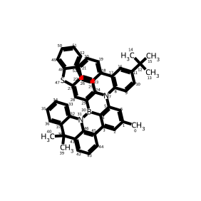 Cc1cc2c3c(c1)N(c1ccc(C(C)(C)C)cc1-c1ccccc1)c1cc4c(cc1B3N1c3ccccc3C(C)(C)c3cccc-2c31)sc1ccccc14